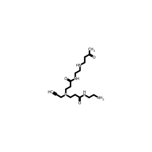 C#CCN(CCC(=O)NCCN)CCC(=O)NCCNCCC(C)=O